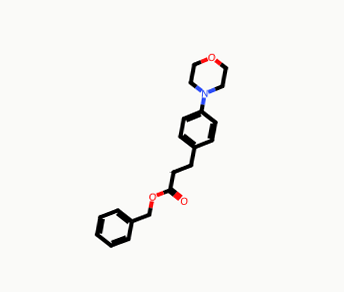 O=C([CH]Cc1ccc(N2CCOCC2)cc1)OCc1ccccc1